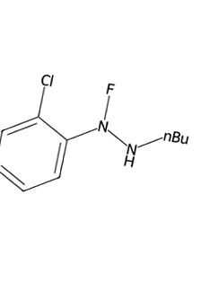 CCCCNN(F)c1ccccc1Cl